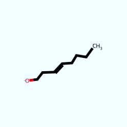 CCCCC=CCC[O]